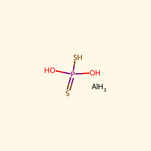 OP(O)(=S)S.[AlH3]